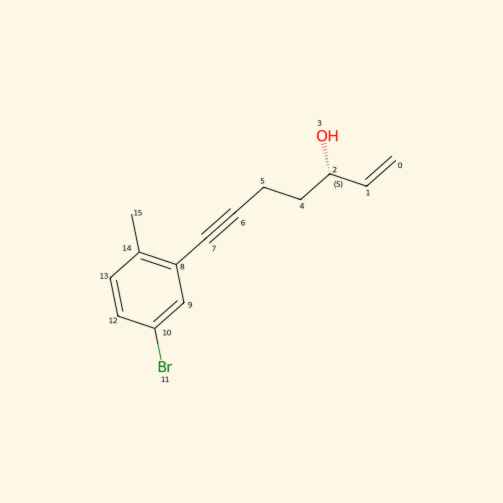 C=C[C@@H](O)CCC#Cc1cc(Br)ccc1C